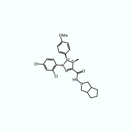 COc1ccc([C@H]2[C@@H](C)C(C(=O)NN3CC4CCCC4C3)=NN2c2ccc(Cl)cc2Cl)cc1